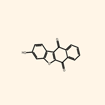 O=C1c2ccccc2C(=O)c2c1oc1cc(O)ccc21